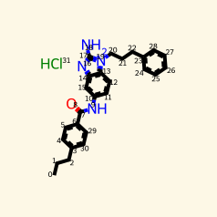 CCCc1ccc(C(=O)Nc2ccc3c(c2)nc(N)n3CCCc2ccccc2)cc1.Cl